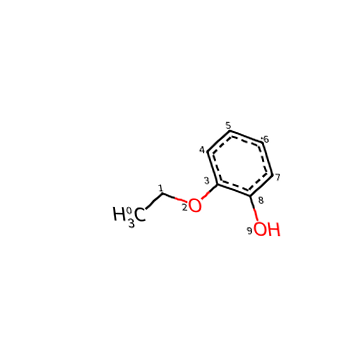 CCOc1cc[c]cc1O